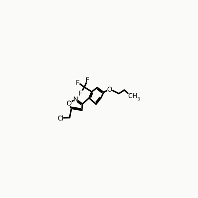 CCCOc1ccc(-c2cc(CCl)on2)c(C(F)(F)F)c1